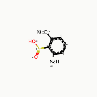 COc1ccccc1S(=O)O.[NaH]